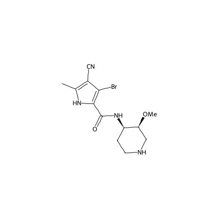 CO[C@H]1CNCC[C@H]1NC(=O)c1[nH]c(C)c(C#N)c1Br